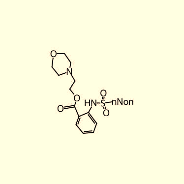 CCCCCCCCCS(=O)(=O)Nc1ccccc1C(=O)OCCN1CCOCC1